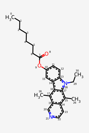 CCCCCCCC(=O)Oc1ccc2c(c1)c1c(C)c3cnccc3c(C)c1n2CC